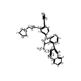 CC(C)c1nn(-c2ccc(C#N)c(NCCN3CCCC3)c2)c2nccc(-c3cnc4ccccc4c3)c12